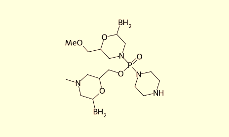 BC1CN(C)CC(COP(=O)(N2CCNCC2)N2CC(B)OC(COC)C2)O1